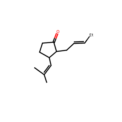 CC/C=C/CC1C(=O)CCC1C=C(C)C